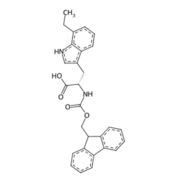 CCc1cccc2c(C[C@H](NC(=O)OCC3c4ccccc4-c4ccccc43)C(=O)O)c[nH]c12